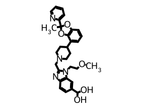 COCCn1c(CN2CCC(c3cccc4c3OC(C)(c3ccccn3)O4)CC2)nc2ccc(C(O)O)cc21